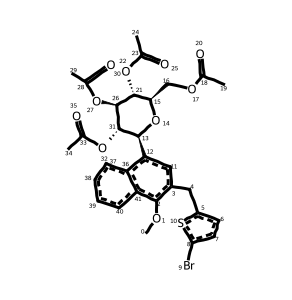 COc1c(Cc2ccc(Br)s2)cc([C@@H]2O[C@H](COC(C)=O)[C@@H](OC(C)=O)[C@H](OC(C)=O)[C@H]2OC(C)=O)c2ccccc12